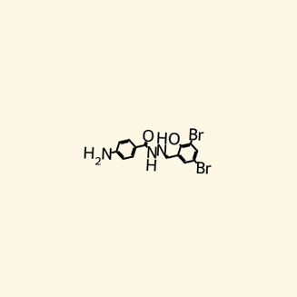 Nc1ccc(C(=O)N/N=C/c2cc(Br)cc(Br)c2O)cc1